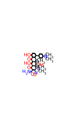 C[C@H]1c2c(-c3ccc(N(C)C)cc3)ccc(O)c2C(=O)C2=C(O)C3C(=O)C(C(N)=O)=C(N=O)[C@@H](N(C)C)[C@@H]3[C@@H](O)[C@@H]21